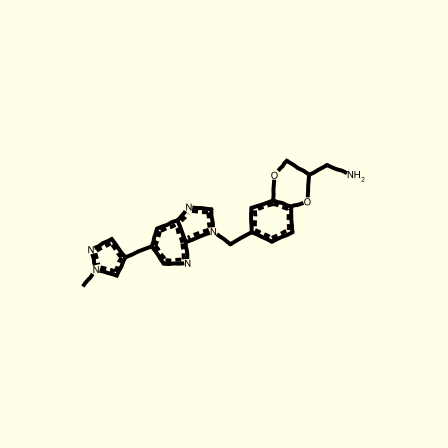 Cn1cc(-c2cnc3c(c2)ncn3Cc2ccc3c(c2)OCC(CN)O3)cn1